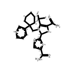 NC(=O)C1=C(C(F)(F)F)N(CC2(c3cccnc3)CCCCC2)C(c2ncc(C(N)=O)s2)S1